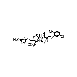 Cc1nnc(SCC2=C(C(=O)O)N3C(=O)C(NC(=O)CSc4cc(Cl)ccc4Cl)[C@H]3SC2)o1